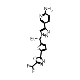 CC[C@H](c1ccc(-c2nnc(C(F)F)o2)s1)n1cc(-c2ccc(N)nc2)nn1